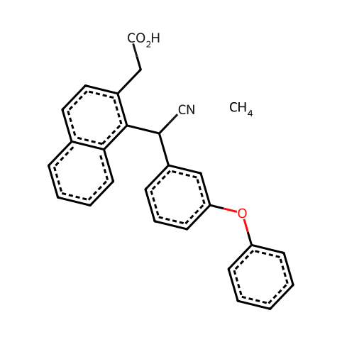 C.N#CC(c1cccc(Oc2ccccc2)c1)c1c(CC(=O)O)ccc2ccccc12